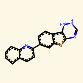 C1=Nc2sc3cc(-c4ccc5ccccc5n4)ccc3c2NN1